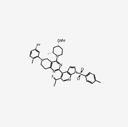 CO[C@@H]1CCN(c2nc(-c3c(C(F)F)cnc4c3ccn4S(=O)(=O)c3ccc(C)cc3)nc3c2CN(c2cc(C(C)C)ccc2C)CC3)[C@H](C)C1